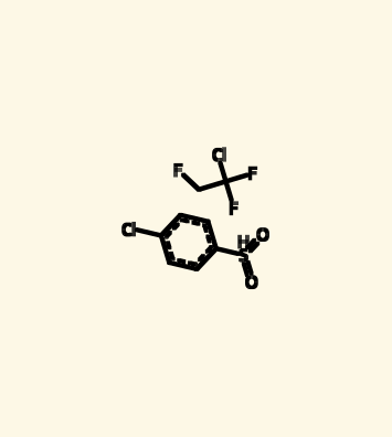 FCC(F)(F)Cl.O=[SH](=O)c1ccc(Cl)cc1